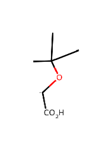 CC(C)(C)O[CH]C(=O)O